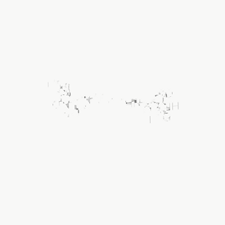 CC(C)c1cc(C(=O)N2CCOC3(CCN(CCCCCCCCCNCC(O)c4ccc(O)c5[nH]c(=O)sc45)CC3)C2)no1